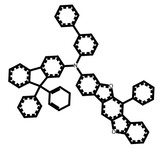 C1=CC(C2(c3ccccc3)c3ccccc3-c3ccc(N(c4cccc(-c5ccccc5)c4)c4ccc5c(c4)oc4c(-c6ccccc6)c6c(cc45)oc4ccccc46)cc32)=CCC1